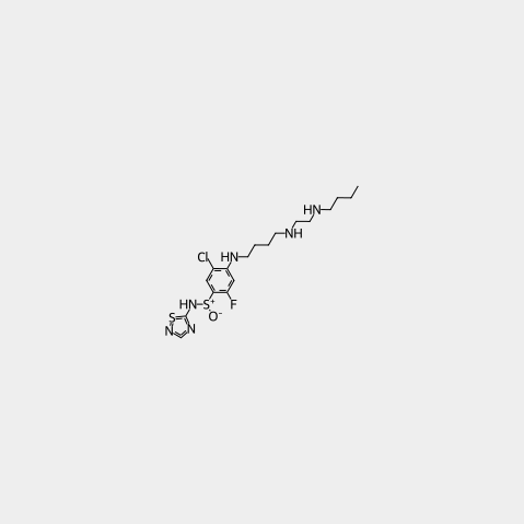 CCCCNCCNCCCCNc1cc(F)c([S+]([O-])Nc2ncns2)cc1Cl